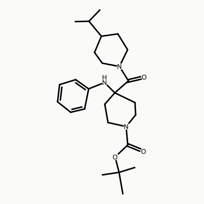 CC(C)C1CCN(C(=O)C2(Nc3ccccc3)CCN(C(=O)OC(C)(C)C)CC2)CC1